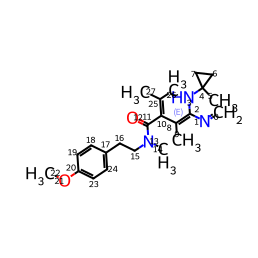 C=N/C(NC1(C)CC1)=C(\C)C(C(=O)N(C)CCc1ccc(OC)cc1)=C(C)C